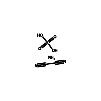 N.N#CC#N.O=S(=O)(O)O